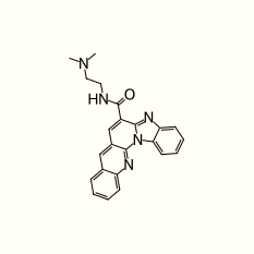 CN(C)CCNC(=O)c1cc2cc3ccccc3nc2n2c1nc1ccccc12